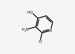 Nc1c(O)ccnc1Cl